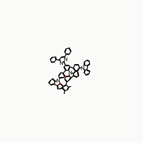 Cc1cc(C)c(-c2ccc3c(c2)c2ccccc2n3-c2c(-c3ccc(-n4c5ccccc5c5ccccc54)cc3)cc(-c3nc(-c4ccccc4)cc(-c4ccccc4)n3)cc2-c2ccc(-n3c4ccccc4c4ccccc43)cc2)c(C)c1